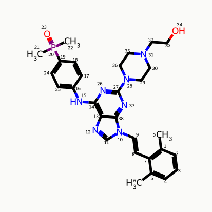 Cc1cccc(C)c1/C=C/n1cnc2c(Nc3ccc(P(C)(C)=O)cc3)nc(N3CCN(CCO)CC3)nc21